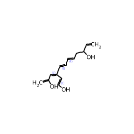 C=CC(O)C/C=C/C=C/C(=C/C(=C)O)/C=C/O